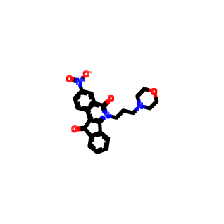 O=C1c2ccccc2-c2c1c1ccc([N+](=O)[O-])cc1c(=O)n2CCCN1CCOCC1